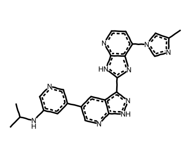 Cc1cn(-c2ccnc3[nH]c(-c4n[nH]c5ncc(-c6cncc(NC(C)C)c6)cc45)nc23)cn1